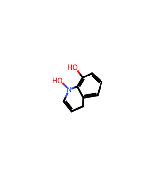 Oc1cccc2c1N(O)C=CC2